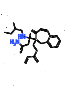 C=CC(=C)CCC1(C(C)(CC(=C)N)NCC(C)CC)Cc2ccccc2C=CC1=C